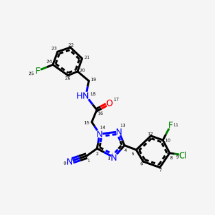 N#Cc1nc(-c2ccc(Cl)c(F)c2)nn1CC(=O)NCc1cccc(F)c1